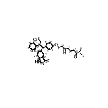 CCC(=C(c1ccc(OCCNCC=CC(=O)N(C)C)cc1)c1ccc2[nH]nc(F)c2c1)c1ccccc1Cl